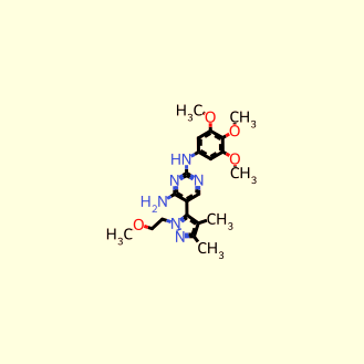 COCCn1nc(C)c(C)c1-c1cnc(Nc2cc(OC)c(OC)c(OC)c2)nc1N